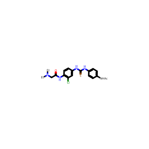 CCN(CC)CC(=O)Nc1ccc(NC(=S)Nc2ccc(NC(C)=O)cc2)cc1Cl